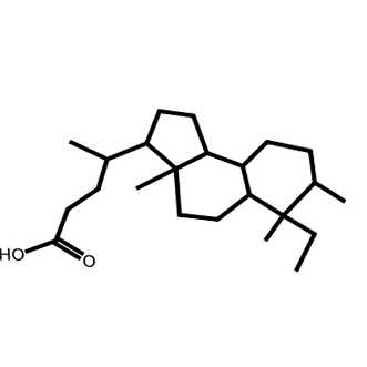 CCC1(C)C(C)CCC2C1CCC1(C)C(C(C)CCC(=O)O)CCC21